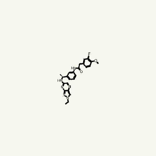 CCn1cc2ncc(N[C@@H](C)c3cccc(NC(=O)Cc4ccc(OC)c(F)c4)c3)nc2n1